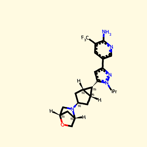 CC(C)n1nc(-c2cnc(N)c(C(F)(F)F)c2)cc1[C@@H]1[C@@H]2C[C@@H](N3C[C@@H]4C[C@H]3CO4)C[C@@H]21